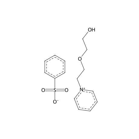 O=S(=O)([O-])c1ccccc1.OCCOCC[n+]1ccccc1